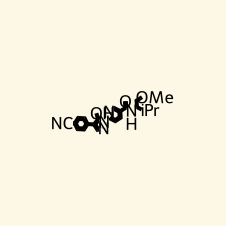 COCC(NC(=O)c1ccc(-n2ncc(-c3ccc(C#N)cc3)c2O)nc1)C(C)C